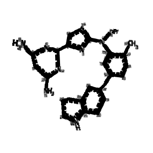 CCCN(c1nc(-c2nc(N)cc(N)n2)cs1)c1cc(-c2ccc3[nH]ccc3c2)ccc1C